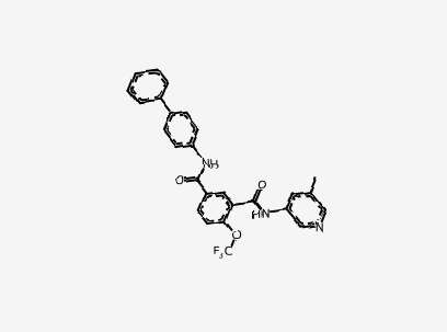 Cc1cncc(NC(=O)c2cc(C(=O)Nc3ccc(-c4ccccc4)cc3)ccc2OC(F)(F)F)c1